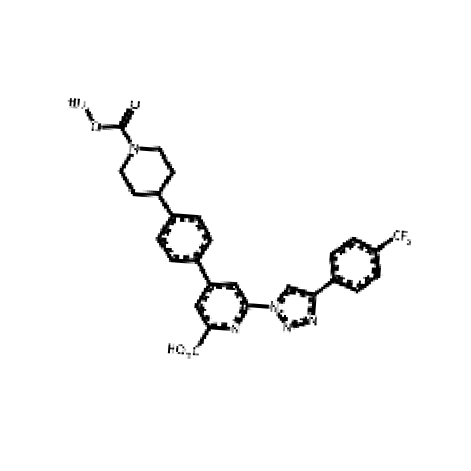 CC(C)(C)OC(=O)N1CCC(c2ccc(-c3cc(C(=O)O)nc(-n4cc(-c5ccc(C(F)(F)F)cc5)nn4)c3)cc2)CC1